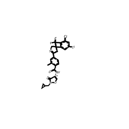 Cc1cc(C2=NCC3(C2)c2cc(Cl)cc(Cl)c2C3(F)F)ccc1C(=O)N[C@@H]1CON(CC2CC2)C1=O